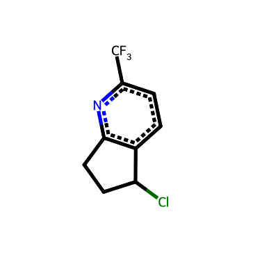 FC(F)(F)c1ccc2c(n1)CCC2Cl